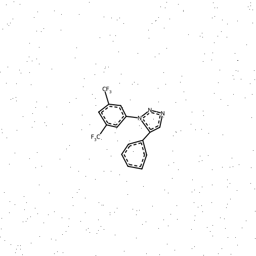 FC(F)(F)c1cc(-n2nncc2-c2ccccc2)cc(C(F)(F)F)c1